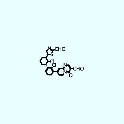 O=CC1=NCC(C2CCC[C@@H](C3=CCCC(c4ccn5c(=O)c(C=O)cnc5c4)=C3Cl)C2Cl)S1